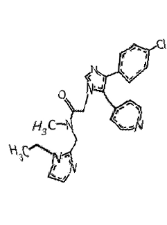 CCn1ccnc1CN(C)C(=O)Cn1cnc(-c2ccc(Cl)cc2)c1-c1ccncc1